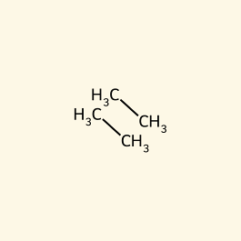 CC.CC